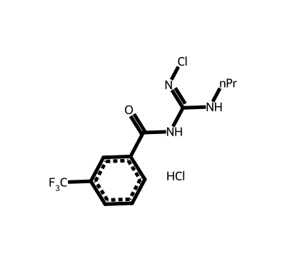 CCCNC(=NCl)NC(=O)c1cccc(C(F)(F)F)c1.Cl